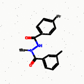 Cc1cccc(C(=O)N(NC(=O)c2ccc(C(C)C)cc2)C(C)(C)C)c1